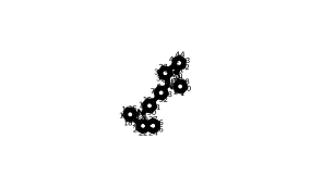 c1ccc(N(c2ccc(-c3ccc(-n4c5ccccc5c5ccc6ccccc6c54)cc3)cc2)c2cccc3c2sc2ccccc23)cc1